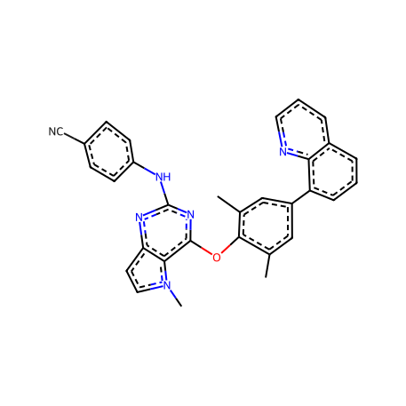 Cc1cc(-c2cccc3cccnc23)cc(C)c1Oc1nc(Nc2ccc(C#N)cc2)nc2ccn(C)c12